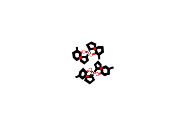 Cc1ccc([O][Zr]([O]c2ccc(C)cc2)([C]2=CC=CC2)[C]2=CC=CC2)cc1.Cc1ccccc1[O][Zr]([O]c1ccccc1C)([C]1=CC=CC1)[C]1=CC=CC1